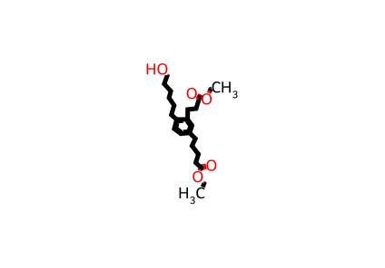 CCOC(=O)CCCCc1ccc(CCCCCCO)c(CCC(=O)OCC)c1